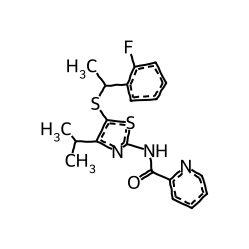 CC(C)c1nc(NC(=O)c2ccccn2)sc1SC(C)c1ccccc1F